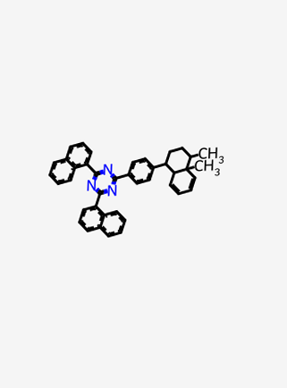 CC1CCC(c2ccc(-c3nc(-c4cccc5ccccc45)nc(-c4cccc5ccccc45)n3)cc2)C2C=CC=CC12C